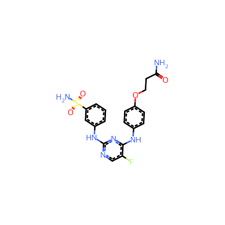 NC(=O)CCOc1ccc(Nc2nc(Nc3cccc(S(N)(=O)=O)c3)ncc2F)cc1